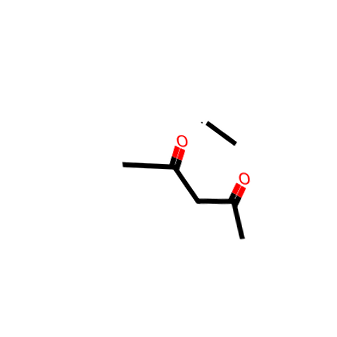 CC(=O)CC(C)=O.[CH2]C